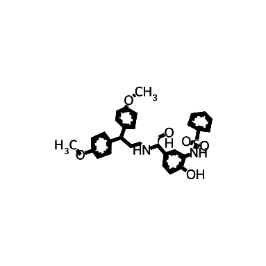 COc1ccc(C(CCN[C@H](CO)c2ccc(O)c(NS(=O)(=O)c3ccccc3)c2)c2ccc(OC)cc2)cc1